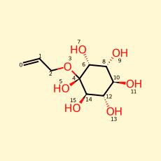 C=CCO[C@]1(O)[C@H](O)[C@H](O)[C@@H](O)[C@H](O)[C@H]1O